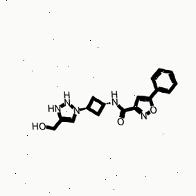 O=C(N[C@H]1C[C@H](N2C=C(CO)NN2)C1)c1cc(-c2ccccc2)on1